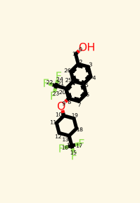 OCc1ccc2ccc(OC3CCC(C(F)(F)F)CC3)c(C(F)(F)F)c2c1